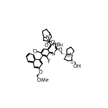 COCOc1cc(-c2c(Cl)cc3c(N4CC5CCC(C4)N5C(=O)OC(C)(C)C)nc(OC[C@]45CCCN4[C@H](CO)CC5)nc3c2F)c2ccccc2c1